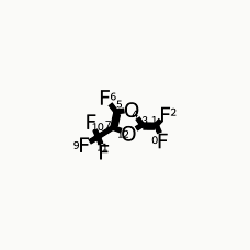 FC(F)=C1OC(F)=C(C(F)(F)F)O1